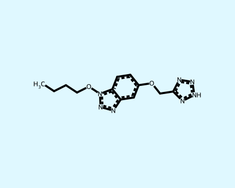 CCCCOn1nnc2cc(OCc3nn[nH]n3)ccc21